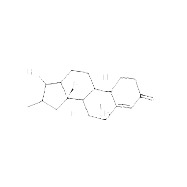 CC1C[C@H]2[C@@H]3CCC4=CC(=O)CC[C@]4(CS)[C@@H]3CC[C@]2(C)C1O